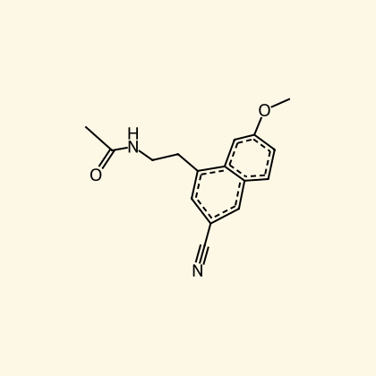 COc1ccc2cc(C#N)cc(CCNC(C)=O)c2c1